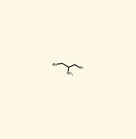 CCC(C)CC(N)CC(C)C